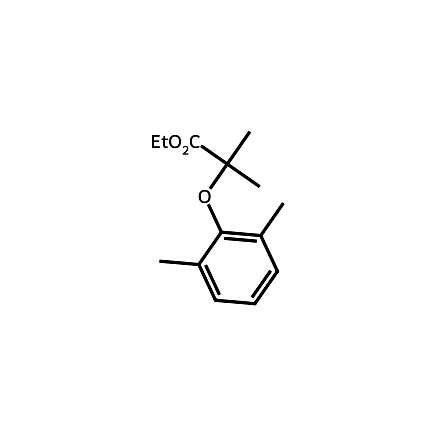 CCOC(=O)C(C)(C)Oc1c(C)cccc1C